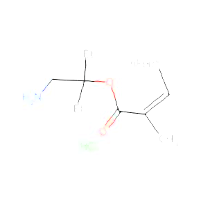 CCCCCC=C(C)C(=O)OC(CC)(CC)CN.Cl